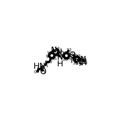 C=CC(=O)NCC=Cc1ccc2ncnc(Nc3ccc(Oc4cc5nncn5cn4)c(C)c3)c2c1